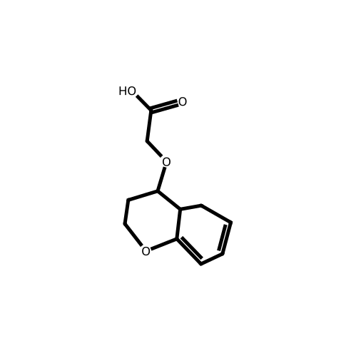 O=C(O)COC1CCOC2=CC=CCC21